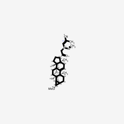 C=NN(/C=C(\C)C#N)CC(=O)[C@H]1CC[C@H]2[C@@H]3CC[C@@H]4C5[C@@H](OC)[C@@]5(O)CC[C@]4(C)C3=CC[C@]12C